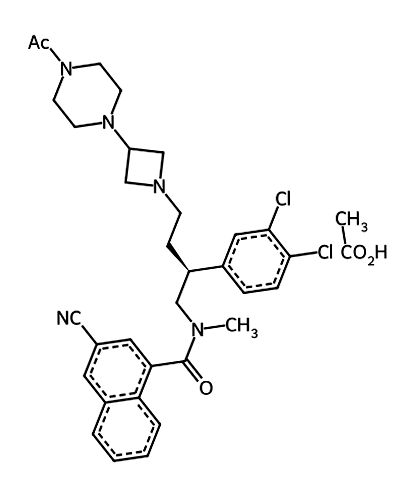 CC(=O)N1CCN(C2CN(CC[C@H](CN(C)C(=O)c3cc(C#N)cc4ccccc34)c3ccc(Cl)c(Cl)c3)C2)CC1.CC(=O)O